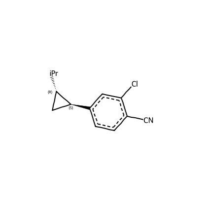 CC(C)[C@H]1C[C@@H]1c1ccc(C#N)c(Cl)c1